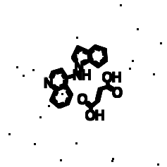 O=C(O)C=CC(=O)O.c1ccc2c(c1)ccn2Nc1ccnc2ccccc12